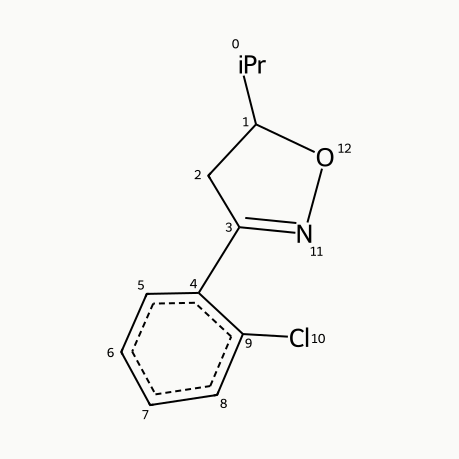 CC(C)C1CC(c2ccccc2Cl)=NO1